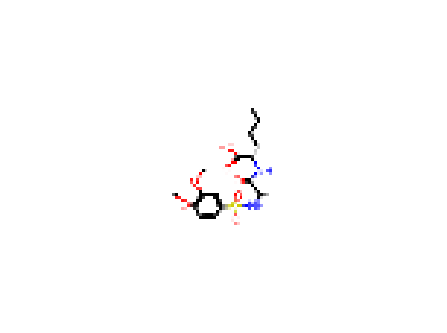 CCCC[C@H](NC(=O)[C@H](C)NS(=O)(=O)c1ccc(OC)c(OC)c1)C(=O)O